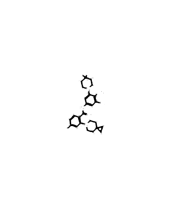 N#Cc1c(F)cc(NC(=O)c2ccc(I)cc2N2CCC3(CC2)CC3)cc1N1CCC(F)(F)CC1